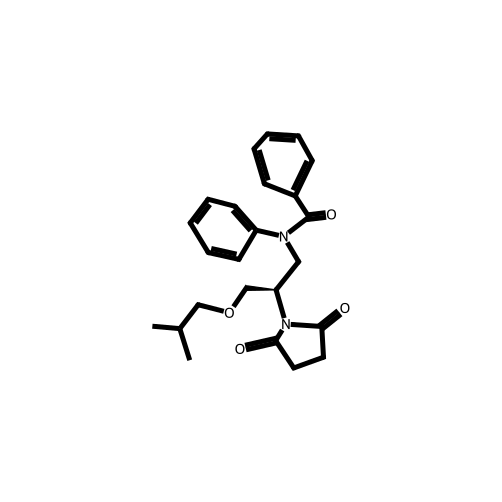 CC(C)COC[C@@H](CN(C(=O)c1ccccc1)c1ccccc1)N1C(=O)CCC1=O